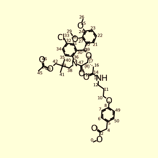 COC(=O)Cc1ccc(OCCCNC(=O)C[C@H]2O[C@H](c3cccc(OC)c3OC)c3cc(Cl)ccc3N(CC(C)(C)COC(C)=O)C2=O)cc1